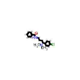 CN(C)C(CCCNC(=O)c1ccccc1)c1ccc(Cl)cc1